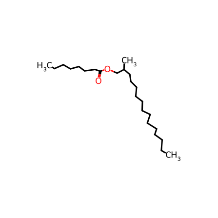 CCCCCCCCCCCCCC(C)COC(=O)CCCCCCC